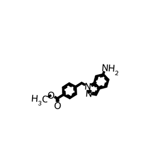 COC(=O)c1ccc(Cn2ncc3ccc(N)cc32)cc1